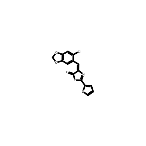 O=C1OC(c2cccs2)=NC1=Cc1cc2c(cc1Cl)OCO2